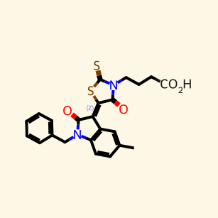 Cc1ccc2c(c1)/C(=C1/SC(=S)N(CCCC(=O)O)C1=O)C(=O)N2Cc1ccccc1